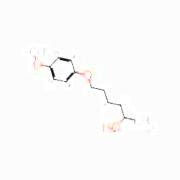 COc1ccc(OCCCCC(C)O)cc1